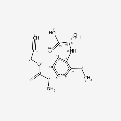 C#CCOC(=O)CN.CCc1ccccc1N[C@@H](C)C(=O)O